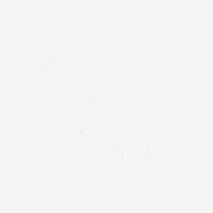 CCOC(=O)C(OC(C)(C)C)c1c(C)cc2nc(-c3ccnc(-c4ccc5c(cnn5C5CN(C(=O)OC(C)(C)C)C5)c4)c3)sc2c1-c1ccc(Cl)cc1